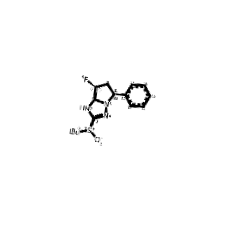 CC(C)(C)[S+]([O-])C1=NN2C(N1)[C@@H](F)C[C@H]2c1ccccc1